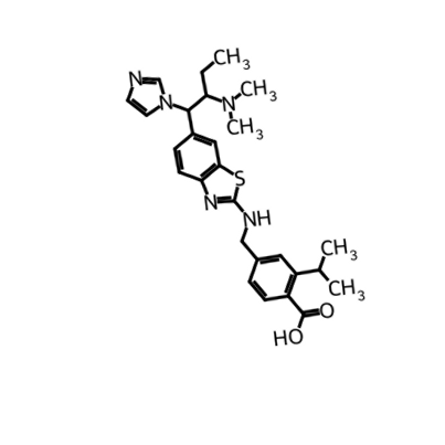 CCC(C(c1ccc2nc(NCc3ccc(C(=O)O)c(C(C)C)c3)sc2c1)n1ccnc1)N(C)C